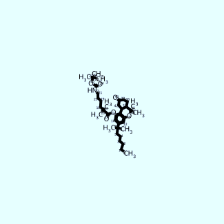 CCCCCCC(C)(C)c1cc(OC(=O)C(C)(C)CCCCNC(=O)OC(C)(C)C)c2c(c1)OC(C)(C)C1CCC(=O)CC21